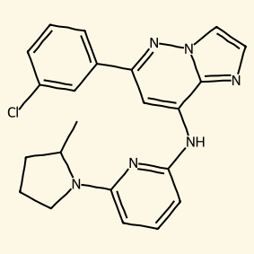 CC1CCCN1c1cccc(Nc2cc(-c3cccc(Cl)c3)nn3ccnc23)n1